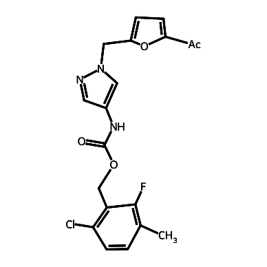 CC(=O)c1ccc(Cn2cc(NC(=O)OCc3c(Cl)ccc(C)c3F)cn2)o1